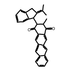 CC(C)=C1Cc2ccccc2C1C1C(=O)c2cc3cc4ccccc4cc3cc2C(=O)C1C